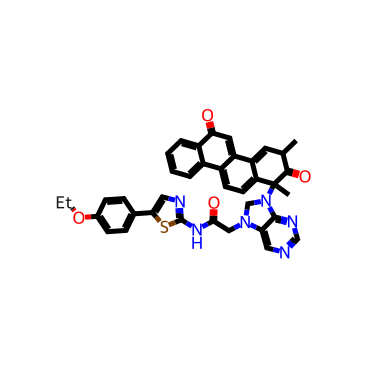 CCOc1ccc(-c2cnc(NC(=O)CN3CN(C4(C)C(=O)C(C)C=c5c4ccc4c5=CC(=O)c5ccccc5-4)c4ncncc43)s2)cc1